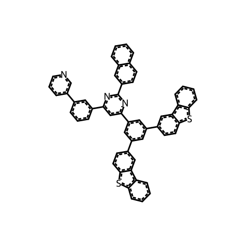 c1cncc(-c2cccc(-c3cc(-c4cc(-c5ccc6sc7ccccc7c6c5)cc(-c5ccc6sc7ccccc7c6c5)c4)nc(-c4ccc5ccccc5c4)n3)c2)c1